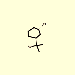 CC(=O)C(C)(C)[C@@H]1CCC[C@H](O)C1